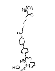 O=C(CCCCCCC(=O)N1CCN(c2ccc(C(=O)N[C@H](C(=O)O)c3ccccc3)cc2)CC1)NO